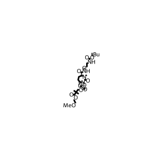 COCCOC(=O)C(C)(C)COS(=O)(=O)ON1C(=O)N(C)[C@H](C(=O)NOCCNC(=O)OC(C)(C)C)CC[C@@H]1C